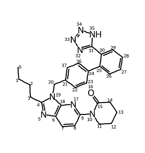 CCCCc1nc2ccc(N3CCCCC3=O)nc2n1Cc1ccc(-c2ccccc2-c2nnn[nH]2)cc1